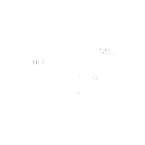 CNC1CCCS1(=O)=O.Cl